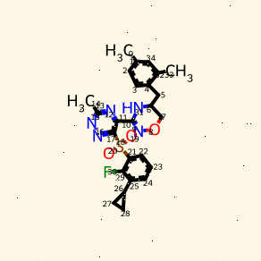 Cc1ccc(CC2CON=C(c3nc(C)nnc3S(=O)(=O)c3cccc(C4CC4)c3F)N2)c(C)c1